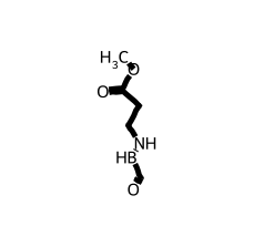 COC(=O)CCNBC=O